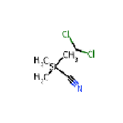 C[Si](C)(C)C#N.ClCCl